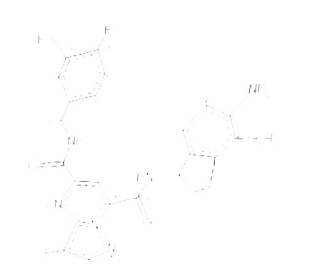 Cc1c(N)ccc2c1CC[C@@H]2NC(=O)c1cc(C(=O)NCc2ccc(F)c(C(F)(F)F)c2)nc2c(F)cnn12